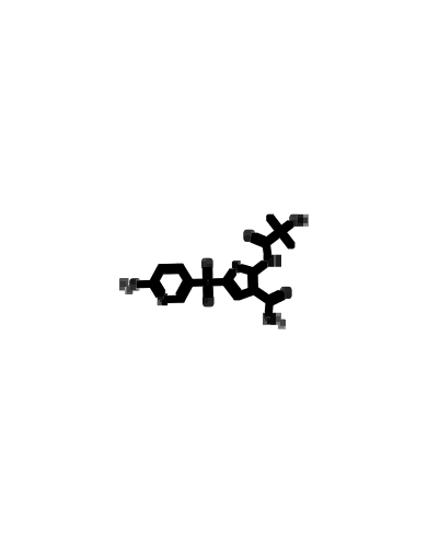 CC(C)(O)C(=O)Nc1sc(S(=O)(=O)c2ccc(C(F)(F)F)nc2)cc1C(N)=O